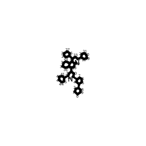 c1ccc(-c2cccc(-c3cc(-c4cc5nc(-c6ccccc6)cc(-c6ccccc6)c5c5ccccc45)cc(-c4ccccc4)n3)c2)cc1